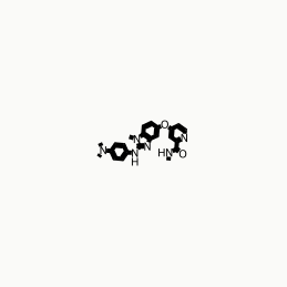 CNC(=O)c1cc(Oc2ccc3c(c2)nc(Nc2ccc(N(C)C)cc2)n3C)ccn1